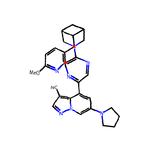 COc1ccc(CC2C3CC2CN(c2cnc(-c4cc(N5CCCC5)cn5ncc(C#N)c45)cn2)C3)cn1